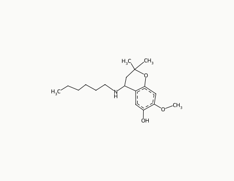 CCCCCCNC1CC(C)(C)Oc2cc(OC)c(O)cc21